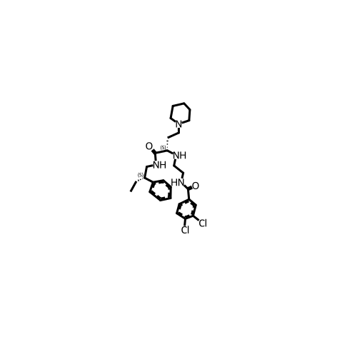 CC[C@H](CNC(=O)[C@H](CCN1CCCCC1)NCCNC(=O)c1ccc(Cl)c(Cl)c1)c1ccccc1